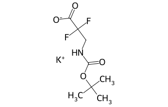 CC(C)(C)OC(=O)NCC(F)(F)C(=O)[O-].[K+]